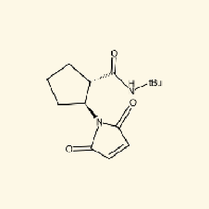 CC(C)(C)NC(=O)[C@H]1CCC[C@@H]1N1C(=O)C=CC1=O